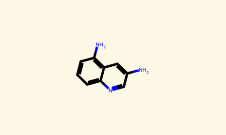 Nc1cnc2cccc(N)c2c1